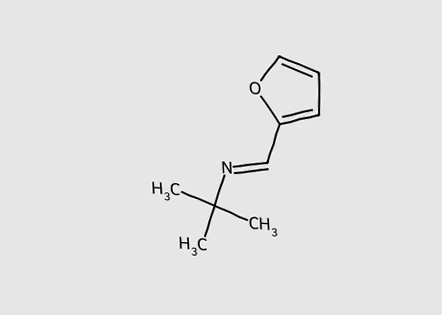 CC(C)(C)N=Cc1ccco1